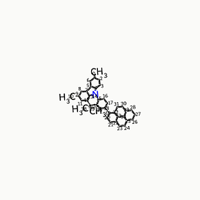 Cc1ccc2c(c1)c1cc(C)cc3c1n2-c1ccc(-c2ccc4ccc5cccc6ccc2c4c56)cc1C3(C)C